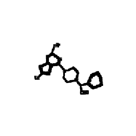 CCCc1nc(N2CCN(C(C=O)c3ccccc3)CC2)c2cc(CC)sc2n1